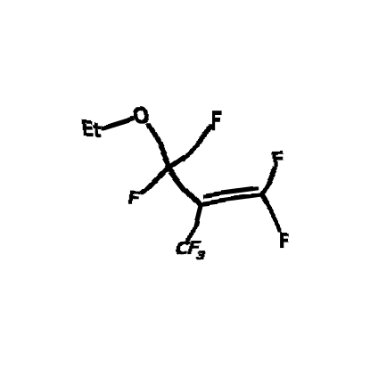 CCOC(F)(F)C(=C(F)F)C(F)(F)F